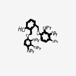 CCCc1ccc(OCc2cccc(O)c2COc2ccc(CCC)c(CCC)c2CCC)c(CCC)c1CCC